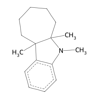 CN1c2ccccc2C2(C)CCCCCC12C